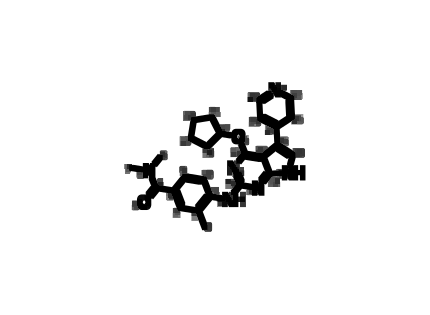 Cc1cc(C(=O)N(C)C)ccc1Nc1nc(OC2CCCC2)c2c(-c3ccncc3)c[nH]c2n1